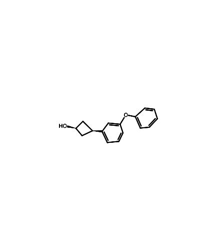 O[C@H]1C[C@@H](c2cccc(Oc3ccccc3)c2)C1